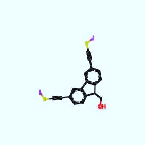 OCC1c2ccc(C#CSI)cc2-c2cc(C#CSI)ccc21